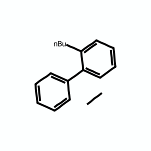 CC.CCCCc1ccccc1-c1ccccc1